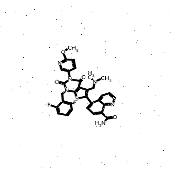 COc1ccc(-n2c(=O)c3c(CN(C)C)c(-c4ccc(C(N)=O)c5ncccc45)sc3n(Cc3c(F)cccc3F)c2=O)cn1